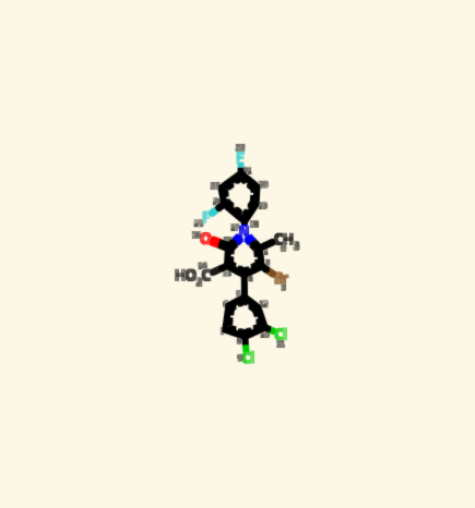 Cc1c(Br)c(-c2ccc(Cl)c(Cl)c2)c(C(=O)O)c(=O)n1-c1ccc(F)cc1F